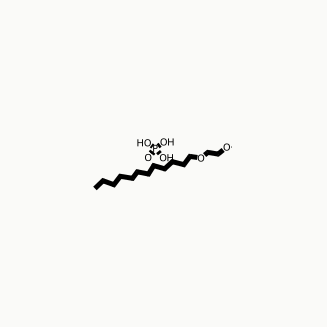 CCCCCCCCCCCCOCC[O].O=P(O)(O)O